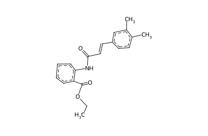 CCOC(=O)c1ccccc1NC(=O)/C=C/c1ccc(C)c(C)c1